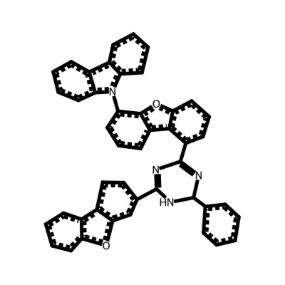 c1ccc(C2N=C(c3cccc4oc5c(-n6c7ccccc7c7ccccc76)cccc5c34)N=C(c3ccc4c(c3)oc3ccccc34)N2)cc1